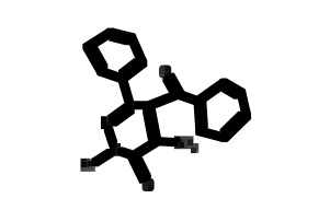 CCn1nc(-c2ccccc2)c(C(=O)c2ccccc2)c(N)c1=O